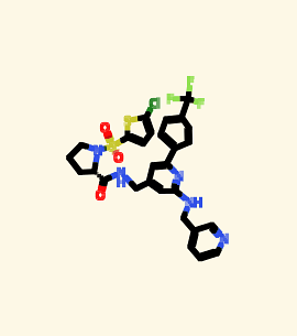 O=C(NCc1cc(NCc2cccnc2)nc(-c2ccc(C(F)(F)F)cc2)c1)[C@@H]1CCCN1S(=O)(=O)c1ccc(Cl)s1